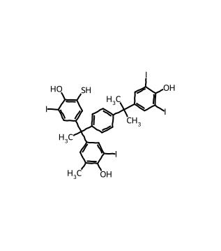 Cc1cc(C(C)(c2ccc(C(C)(C)c3cc(I)c(O)c(I)c3)cc2)c2cc(S)c(O)c(I)c2)cc(I)c1O